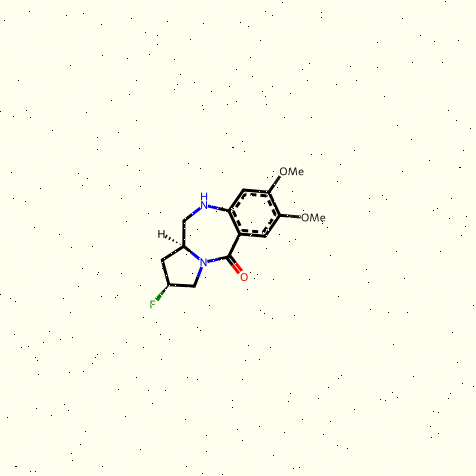 COc1cc2c(cc1OC)C(=O)N1C[C@@H](F)C[C@H]1CN2